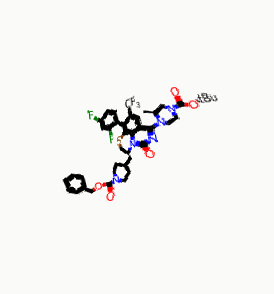 C[C@H]1CN(C(=O)OC(C)(C)C)CCN1c1nc(=O)n2c3c(c(-c4ccc(F)cc4F)c(C(F)(F)F)cc13)SC[C@@H]2CC1CCN(C(=O)OCc2ccccc2)CC1